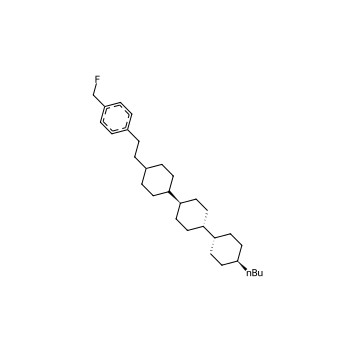 CCCC[C@H]1CC[C@H]([C@H]2CC[C@H](C3CCC(CCc4ccc(CF)cc4)CC3)CC2)CC1